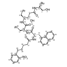 CC[C@H](C)[C@@H](CO)NC(=O)C[C@H](O)[C@H](CC(C)C)NC(=O)[C@H](CC(C)C)NC(=O)[C@H](Cc1cccc2ccccc12)NC(=O)CCSSc1ncccc1[N+](=O)[O-]